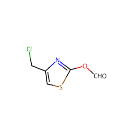 O=COc1nc(CCl)cs1